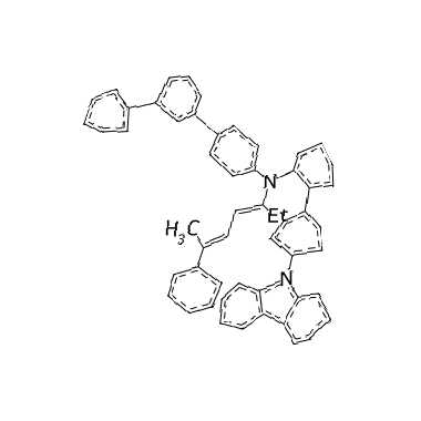 CC/C(=C\C=C(/C)c1ccccc1)N(c1ccc(-c2cccc(-c3ccccc3)c2)cc1)c1ccccc1-c1ccc(-n2c3ccccc3c3ccccc32)cc1